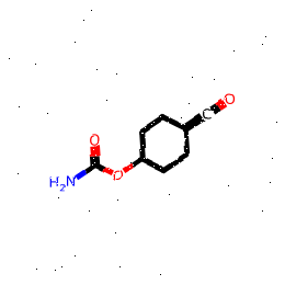 NC(=O)OC1CCC(=C=O)CC1